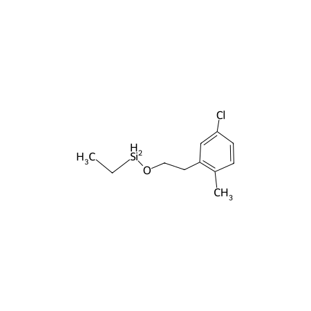 CC[SiH2]OCCc1cc(Cl)ccc1C